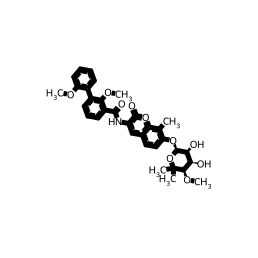 COc1ccccc1-c1cccc(C(=O)Nc2cc3ccc(O[C@@H]4OC(C)(C)[C@H](OC)[C@@H](O)[C@@H]4O)c(C)c3oc2=O)c1OC